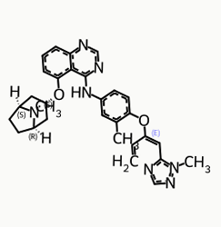 C=C/C(=C\c1ncnn1C)Oc1ccc(Nc2ncnc3cccc(O[C@@H]4C[C@H]5CC[C@@H](C4)N5C)c23)cc1C